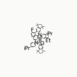 CCC(C)(C)c1cc2c(cc1C(C)C)N(c1cc3c(cc1C1=C(F)C=CCC1)C(C)(C)CCC3(C)C)c1cc(C)cc3c1B2c1oc2cc4c(cc2c1N3c1ccc(C(C)C)cc1)C(C)(C)CCC4C